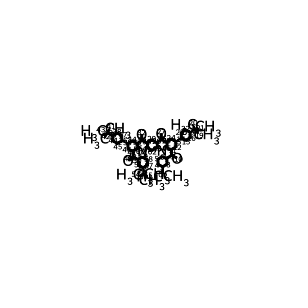 CC(C)c1ccc2c(c1)c(=O)c1cc(-c3ccc(C(C)(C)C)cc3)cc3c(=O)c4cc5c(=O)c6cc(-c7ccc(C(C)(C)C)cc7)cc7c(=O)c8cc(C(C)(C)C)ccc8n(c5cc4n2c13)c76